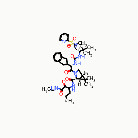 CCCC(NC(=O)[C@@H]1[C@@H]2[C@H](CN1C(=O)[C@@H](NC(=O)N[C@H](CN(C)S(=O)(=O)c1ccccn1)C(C)(C)C)C1Cc3ccccc3C1)C2(C)C)C(=O)C(=O)NCC